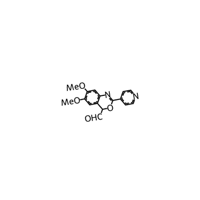 COc1cc2c(cc1OC)C(C=O)OC(c1ccncc1)=N2